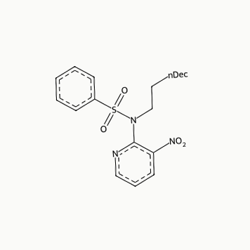 CCCCCCCCCCCCN(c1ncccc1[N+](=O)[O-])S(=O)(=O)c1ccccc1